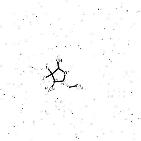 CC[C@H]1OC(O)C(F)(F)[C@@H]1C